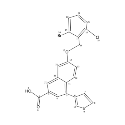 O=C(O)c1cc(-c2ccsc2)c2ccc(OCc3c(Cl)cccc3Br)cc2c1